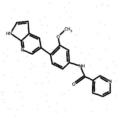 COc1cc(NC(=O)c2cccnc2)ccc1-c1cnc2[nH]ccc2c1